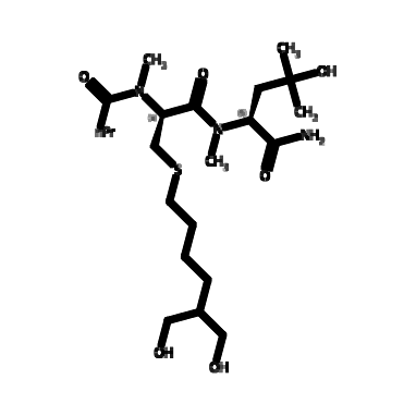 CCCC(=O)N(C)[C@H](CSCCCCC(CO)CO)C(=O)N(C)[C@@H](CC(C)(C)O)C(N)=O